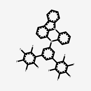 Fc1c(F)c(F)c(-c2cc(-c3c(F)c(F)c(F)c(F)c3F)cc(N3c4ccccc4-n4c5ccccc5c5cccc3c54)c2)c(F)c1F